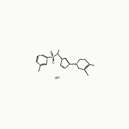 CC1=C(C)CN(C2C=CC(N(C)S(=O)(=O)c3cccc(C)c3)C2)CC1.Cl